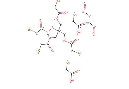 O=C(CS)OCC(COC(=O)CS)(COC(=O)CS)COC(=O)CS.O=C(O)CS.O=C(O)CS.O=CCCC=O